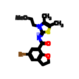 COCCn1c(C)c(C)s/c1=N\C(=O)c1cc(Br)cc2c1OCC2